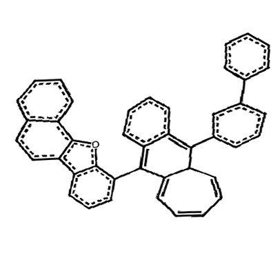 C1=CC=C2C(c3cccc4c3oc3c5ccccc5ccc43)=c3ccccc3=C(c3cccc(-c4ccccc4)c3)C2C=C1